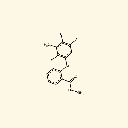 Cc1c(F)c(F)cc(Nc2ccccc2C(=O)NN)c1F